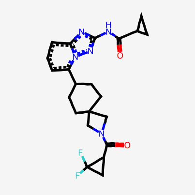 O=C(Nc1nc2cccc(C3CCC4(CC3)CN(C(=O)C3CC3(F)F)C4)n2n1)C1CC1